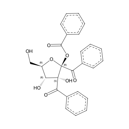 O=C(O[C@]1(C(=O)c2ccccc2)O[C@H](CO)[C@@H](O)[C@]1(O)C(=O)c1ccccc1)c1ccccc1